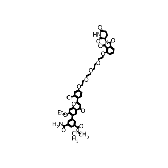 CCOc1cc2oc(-c3ccc(OCCOCCOCCOCCOc4cccc5c4C(=O)N(C4CCC(=O)NC4=O)C5=O)cc3Cl)cc(=O)c2cc1-c1cc(C(N)=O)cc(C(=O)N(C)C)c1